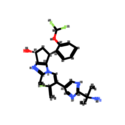 C=C(F)/C(=C\n1c(C)nc2c1[C@@H](c1ccccc1OC(F)F)C[C@H]2O)c1cnc(C(C)(C)N)nc1